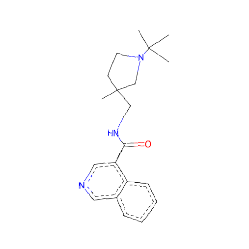 CC1(CNC(=O)c2cncc3ccccc23)CCN(C(C)(C)C)C1